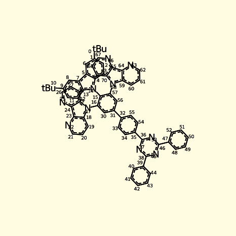 CC(C)(C)c1ccc2c(c1)c1cc(C(C)(C)C)ccc1n2-c1c(-n2c3cccnc3c3ncccc32)cc(-c2ccc(-c3nc(-c4ccccc4)nc(-c4ccccc4)n3)cc2)cc1-n1c2cccnc2c2ncccc21